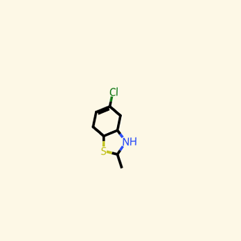 CC1NC2CC(Cl)=CCC2S1